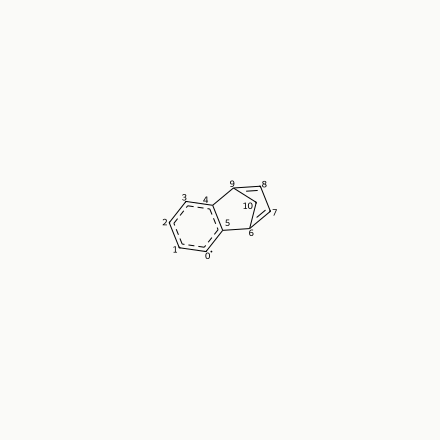 [c]1cccc2c1C1=CC=C2C1